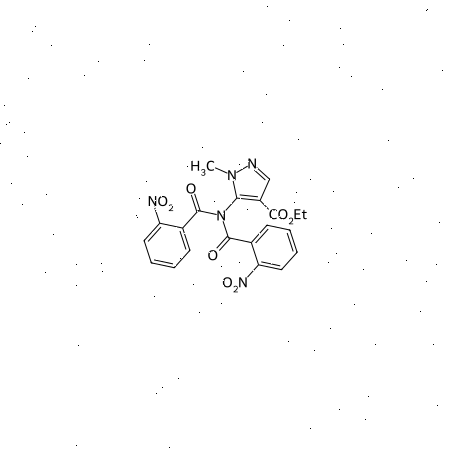 CCOC(=O)c1cnn(C)c1N(C(=O)c1ccccc1[N+](=O)[O-])C(=O)c1ccccc1[N+](=O)[O-]